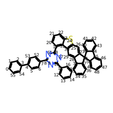 c1ccc(-c2ccc(-c3nc(-c4ccccc4)nc(-c4cccc5sc6cc7c(cc6c45)-c4ccccc4C74c5ccccc5-c5ccccc54)n3)cc2)cc1